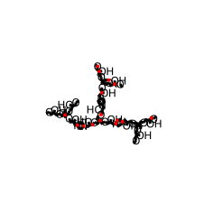 CCC(COCC(O)COC)(COCC(O)COC)COCC(O)CN1CCN(CC(O)COCC(CC)(COCC(O)CN2CCN(CC(O)COCC(CC)(COCC(O)COC)COCC(O)COC)CC2)COCC(O)CN2CCN(CC(O)COCC(CC)(COCC(O)COC)COCC(O)COC)CC2)CC1